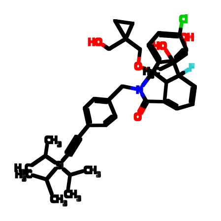 CC(C)[Si](C#Cc1ccc(CN2C(=O)C3=CC=CC(F)(C(C)(O)CO)C3C2(OCC2(CO)CC2)c2ccc(Cl)cc2)cc1)(C(C)C)C(C)C